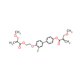 C=C(COC)C(=O)OCCOc1ccc(-c2ccc(OC(=O)C(=C)COC)cc2)cc1F